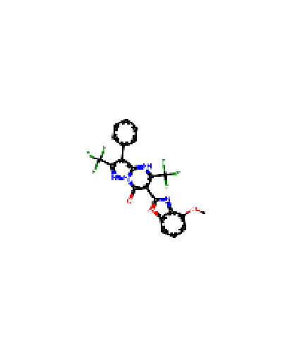 COc1cccc2oc(-c3c(C(F)(F)F)[nH]c4c(-c5ccccc5)c(C(F)(F)F)nn4c3=O)nc12